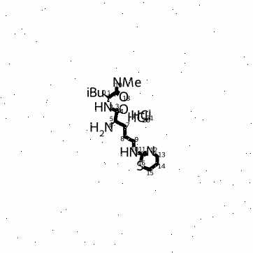 CC[C@H](C)[C@H](NC(=O)[C@@H](N)CCCNC1=NCCCS1)C(=O)NC.Cl.Cl